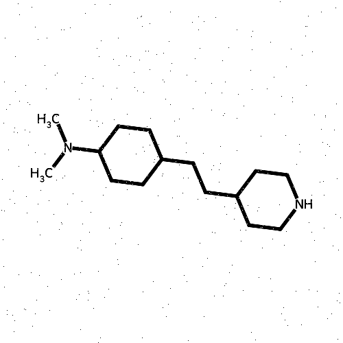 CN(C)C1CCC(CCC2CCNCC2)CC1